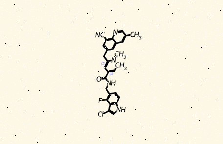 C=N/C(=C\C(=C/C)C(=O)NCc1ccc2[nH]cc(Cl)c2c1F)Cc1cc(C#N)c2ncc(C)cc2c1